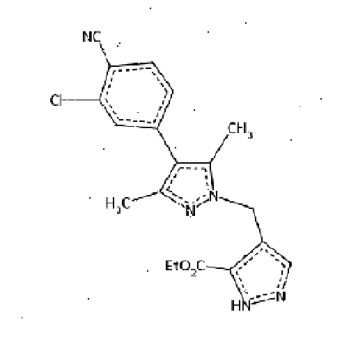 CCOC(=O)c1[nH]ncc1Cn1nc(C)c(-c2ccc(C#N)c(Cl)c2)c1C